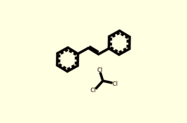 C(=Cc1ccccc1)c1ccccc1.ClC(Cl)Cl